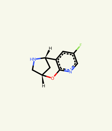 Fc1cnc2c(c1)[C@@H]1C[C@@H](CN1)O2